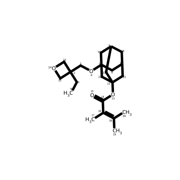 CCC1(COC23CC4CC(C2)CC(OC(=O)C(C)=C(C)C)(C4)C3)COC1